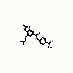 COC(=O)c1ccc(NC(=O)c2cc(OCC(C)C)c3cc(C)oc3c2)nc1